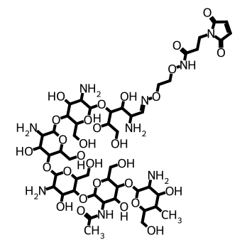 CC(=O)NC1C(OC2C(CO)OC(OC3C(CO)OC(OC4C(CO)OC(OC(C(O)CO)C(O)C(N)/C=N/OCCONC(=O)CCN5C(=O)C=CC5=O)C(N)C4O)C(N)C3O)C(N)C2O)OC(CO)C(OC2OC(CO)C(C)C(O)C2N)C1O